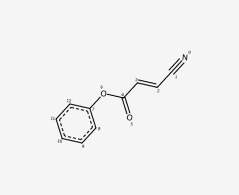 N#CC=CC(=O)Oc1ccccc1